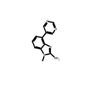 Cn1c(N)nc2c(-c3cncnc3)cccc21